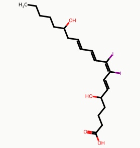 CCCCCC(O)C/C=C/C=C/C(I)=C(I)\C=C\C(O)CCCC(=O)O